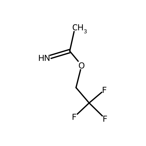 CC(=N)OCC(F)(F)F